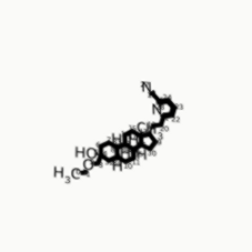 CCOC[C@@]1(O)CC[C@H]2[C@H](CC[C@@H]3[C@@H]2CC[C@]2(C)[C@@H](CCc4cccc(C#N)n4)CC[C@@H]32)C1